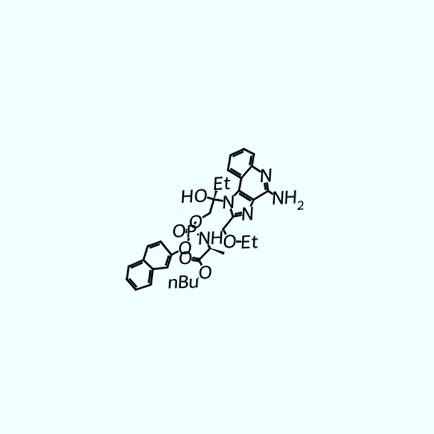 CCCCOC(=O)[C@H](C)N[P@](=O)(OC[C@@](O)(CC)n1c(COCC)nc2c(N)nc3ccccc3c21)Oc1ccc2ccccc2c1